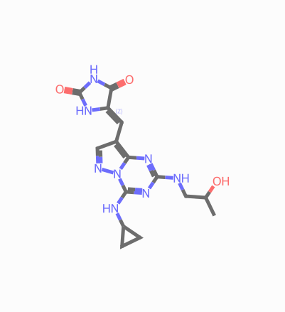 CC(O)CNc1nc(NC2CC2)n2ncc(/C=C3\NC(=O)NC3=O)c2n1